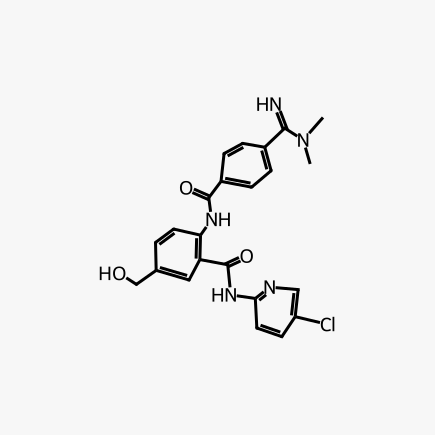 CN(C)C(=N)c1ccc(C(=O)Nc2ccc(CO)cc2C(=O)Nc2ccc(Cl)cn2)cc1